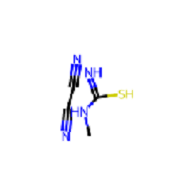 CNC(=N)S.N#CC#N